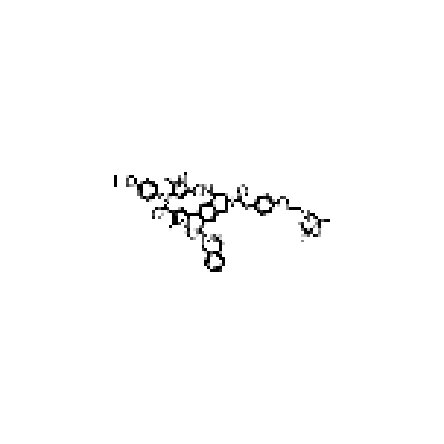 Cc1c(N(C(=O)c2cc(-c3cc4c(cc3C(=O)N3Cc5ccccc5C[C@H]3C)CN(C(=O)Cc3ccc(OCCN5C[C@@H](C)O[C@H](C)C5)cc3)CC4)n(C)c2C)c2ccc(O)cc2)cc(C#N)n1C